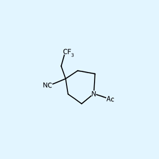 CC(=O)N1CCC(C#N)(CC(F)(F)F)CC1